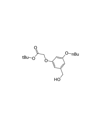 CCCCOc1cc(CO)cc(OCC(=O)OC(C)(C)C)c1